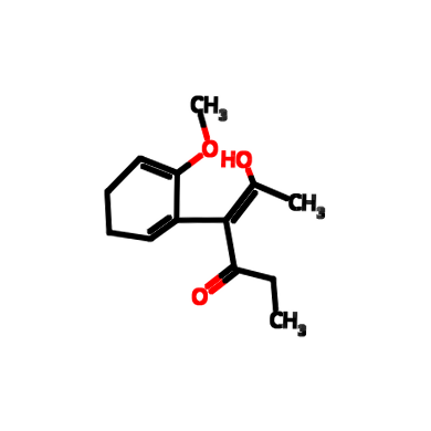 CCC(=O)/C(C1=CCCC=C1OC)=C(\C)O